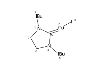 CCC(C)N1CCN(C(C)CC)[C]1=[Cu][I]